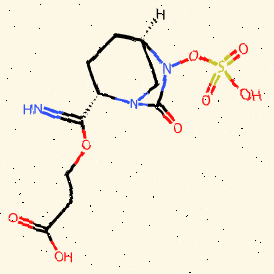 N=C(OCCC(=O)O)[C@@H]1CC[C@@H]2CN1C(=O)N2OS(=O)(=O)O